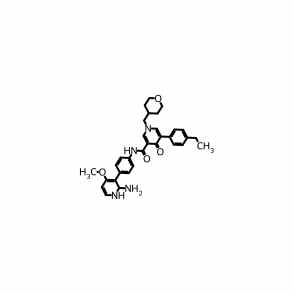 CCc1ccc(-c2cn(CC3CCOCC3)cc(C(=O)Nc3ccc(C4=C(OC)C=CNC4N)cc3)c2=O)cc1